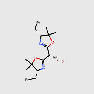 CC(C)C[C@H]1N=C(CC2=N[C@H](CC(C)C)C(C)(C)O2)OC1(C)C.[Br-].[Br-].[Ni+2]